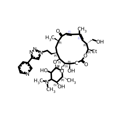 CC[C@H]1OC(=O)C[C@@H](O)[C@H](C)[C@@H](O[C@@H]2O[C@H](C)[C@@H](O)C(N(C)C)C2O)[C@@H](CCn2cc(-c3cccnc3)nn2)C[C@@H](C)C(=O)/C=C/C(C)=C/[C@@H]1CO